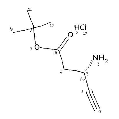 C#C[C@@H](N)CC(=O)OC(C)(C)C.Cl